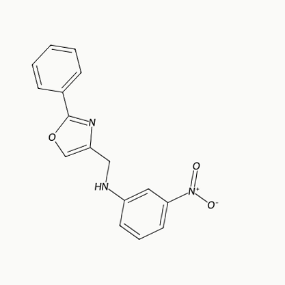 O=[N+]([O-])c1cccc(NCc2coc(-c3ccccc3)n2)c1